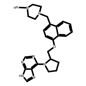 CCCN1CCN(Cc2ccc(OCC3CCCN3c3ncnc4[nH]cnc34)c3ccccc23)CC1